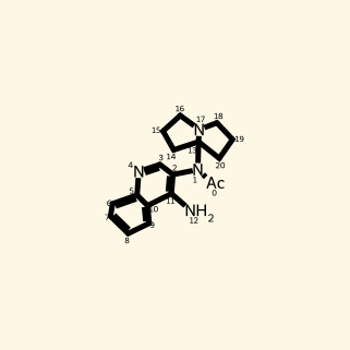 CC(=O)N(c1cnc2ccccc2c1N)C12CCCN1CCC2